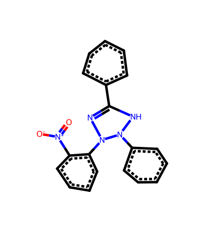 O=[N+]([O-])c1ccccc1N1N=C(c2ccccc2)NN1c1ccccc1